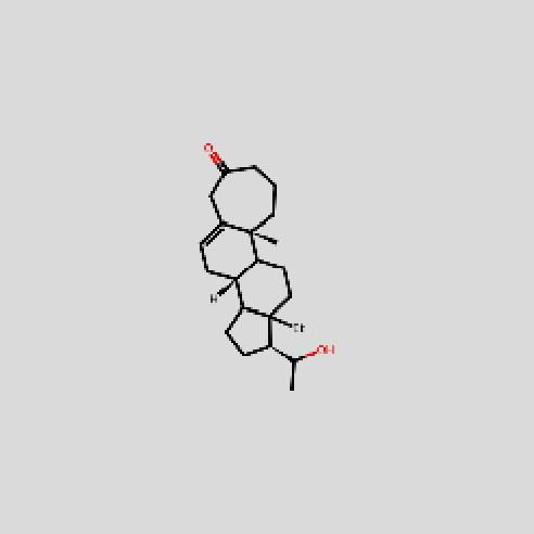 CCC12CCC3[C@@H](CC=C4CC(=O)CCC[C@@]43C)C1CC[C@@H]2C(C)O